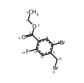 CCOC(=O)c1cc(Br)c(CBr)cc1F